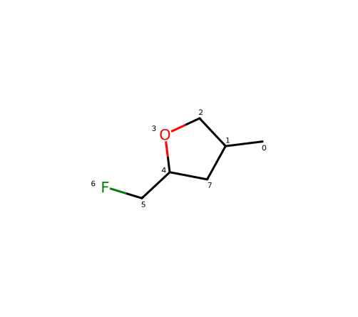 CC1COC(CF)C1